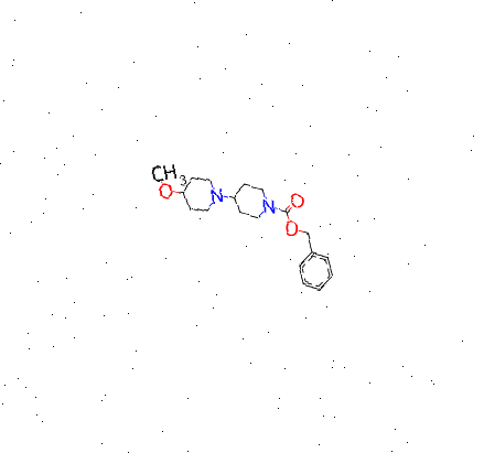 COC1CCN(C2CCN(C(=O)OCc3ccccc3)CC2)CC1